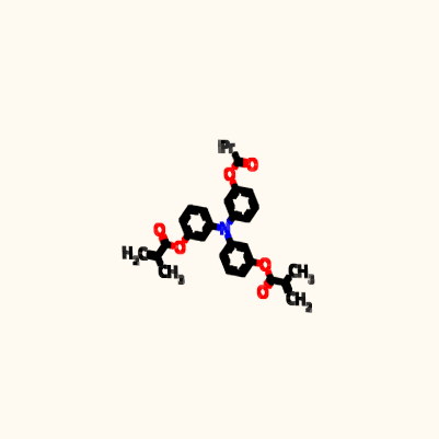 C=C(C)C(=O)Oc1cccc(N(c2cccc(OC(=O)C(=C)C)c2)c2cccc(OC(=O)C(C)C)c2)c1